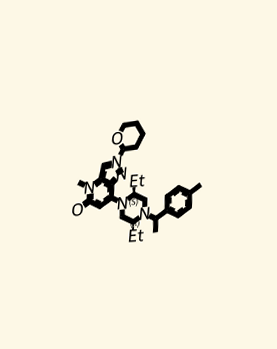 CC[C@H]1CN(C(C)c2ccc(C)cc2)[C@H](CC)CN1c1cc(=O)n(C)c2cn(C3CCCCO3)nc12